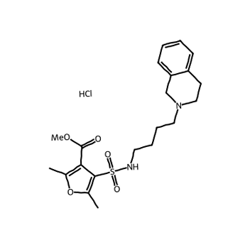 COC(=O)c1c(C)oc(C)c1S(=O)(=O)NCCCCN1CCc2ccccc2C1.Cl